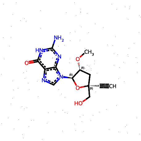 C#C[C@@]1(CO)C[C@@H](OC)[C@H](n2cnc3c(=O)[nH]c(N)nc32)O1